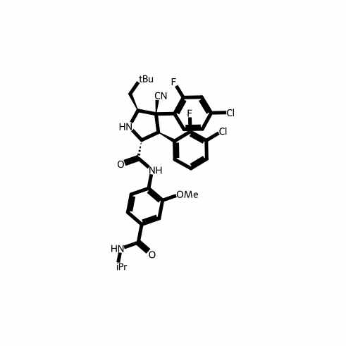 COc1cc(C(=O)NC(C)C)ccc1NC(=O)[C@@H]1N[C@@H](CC(C)(C)C)[C@](C#N)(c2ccc(Cl)cc2F)[C@H]1c1cccc(Cl)c1F